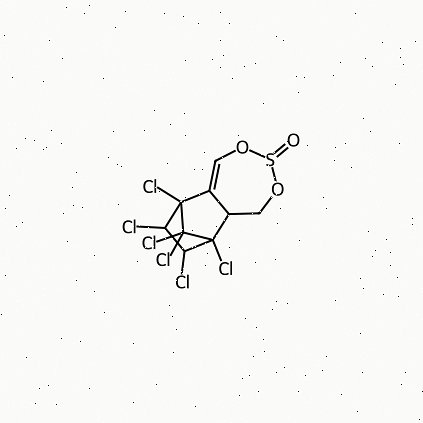 O=S1OC=C2C(CO1)C1(Cl)C(Cl)C(Cl)C2(Cl)C1(Cl)Cl